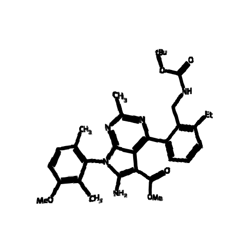 CCc1cccc(-c2nc(C)nc3c2c(C(=O)OC)c(N)n3-c2c(C)ccc(OC)c2C)c1CNC(=O)OC(C)(C)C